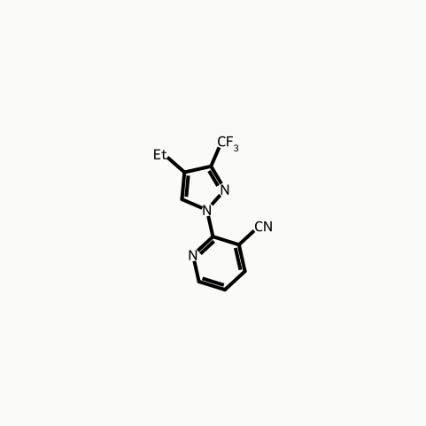 CCc1cn(-c2ncccc2C#N)nc1C(F)(F)F